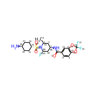 C[C@H]1C[C@@H](NC(=O)c2ccc3c(c2)OC(F)(F)O3)C[C@@H](F)N1S(=O)(=O)[C@H]1CC[C@H](N)CC1